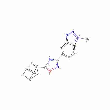 CC(C)n1nnc2cc(-c3noc(C45CC6=C4C(C6)C5)n3)ccc21